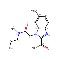 CCCN(CCC(C)(C)C)C(=O)Cn1c(C(=O)C(C)(C)C)nc2ccc(OC)cc21